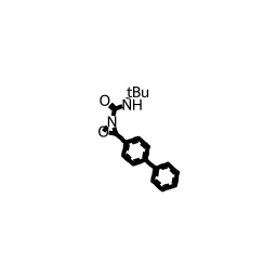 CC(C)(C)NC(=O)N1OC1c1ccc(-c2ccccc2)cc1